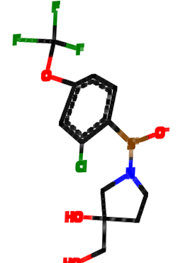 [O-][S+](c1ccc(OC(F)(F)F)cc1Cl)N1CCC(O)(CO)C1